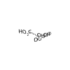 O=C(O)C/C=C/CCC(O)C1C(=O)C=CC1/C=C/C(O)CC1CCCCC1